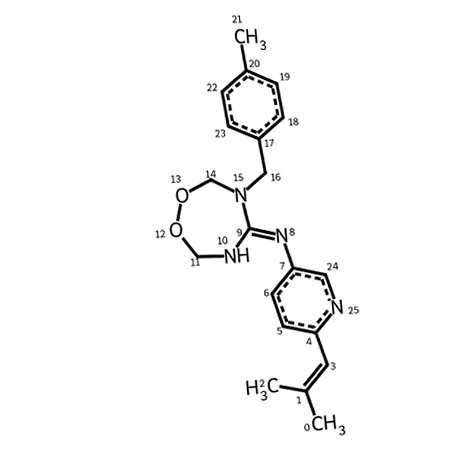 CC(C)=Cc1ccc(/N=C2\NCOOCN2Cc2ccc(C)cc2)cn1